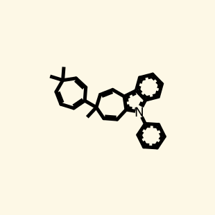 CC1(C)C=CC=C(C2(C)C=Cc3c(n(-c4ccccc4)c4ccccc34)C=C2)C=C1